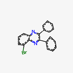 Brc1cccc2nc(-c3ccccc3)c(-c3ccccc3)nc12